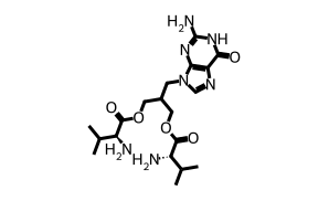 CC(C)[C@H](N)C(=O)OCC(COC(=O)[C@@H](N)C(C)C)Cn1cnc2c(=O)[nH]c(N)nc21